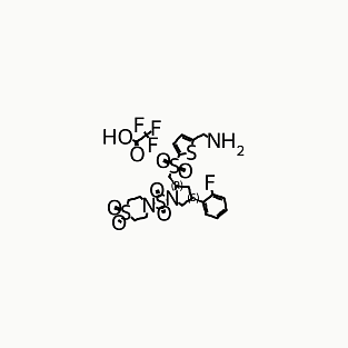 NCc1ccc(S(=O)(=O)C[C@H]2C[C@@H](c3ccccc3F)CN2S(=O)(=O)N2CCS(=O)(=O)CC2)s1.O=C(O)C(F)(F)F